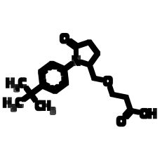 CC(C)(C)c1ccc(N2C(=O)CCC2COCCC(=O)O)cc1